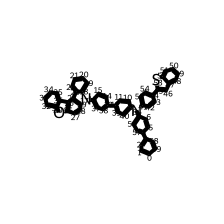 c1ccc(-c2ccc(N(c3ccc(-c4ccc(-n5c6ccccc6c6c7c(ccc65)oc5ccccc57)cc4)cc3)c3ccc(-c4cc5ccccc5s4)cc3)cc2)cc1